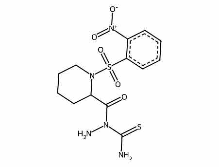 NC(=S)N(N)C(=O)C1CCCCN1S(=O)(=O)c1ccccc1[N+](=O)[O-]